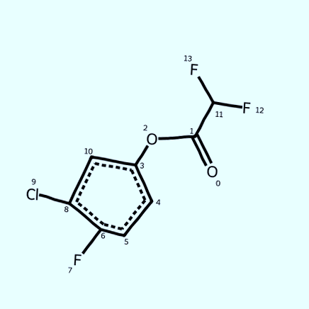 O=C(Oc1ccc(F)c(Cl)c1)C(F)F